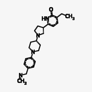 C=NCc1ccc(N2CCC(N3CCC(c4ccc(CC)c(=O)[nH]4)C3)CC2)cc1